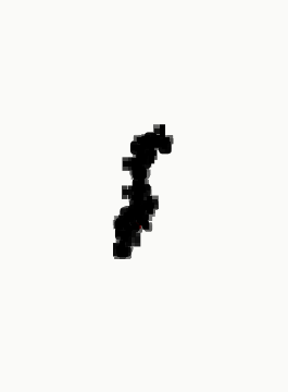 CC[C@H](C)[C@@H]([C@@H](CC(=O)N1CCC[C@H]1[C@H](OC)[C@@H](C)C(=O)NCc1nccs1)OC)N(C)C(=O)[C@@H](NC(=O)C(C)(C)NC(=O)OCc1ccc(NC(=O)CNC(=O)C(NC(=O)CNC(C)=O)C(C)C)cc1)C(C)C